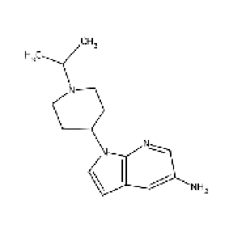 CC(C)N1CCC(n2ccc3cc(N)cnc32)CC1